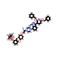 Cc1c(OC2CCC(OC[C@H](C)N3CCN(c4cccc5c(-c6ccc(OCc7ccccc7)nc6OCc6ccccc6)nn(C)c45)CC3)CC2)cccc1B1OC(C)(C)C(C)(C)O1